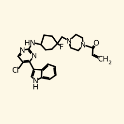 C=CC(=O)N1CCN(CC2(F)CCC(Nc3ncc(Cl)c(-c4c[nH]c5ccccc45)n3)CC2)CC1